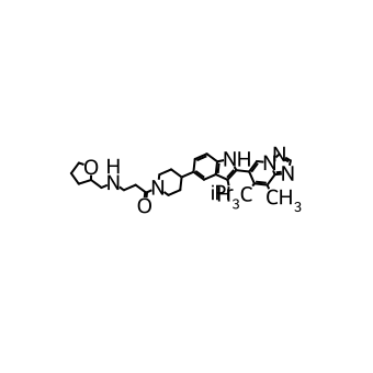 Cc1c(-c2[nH]c3ccc(C4CCN(C(=O)CCNCC5CCCO5)CC4)cc3c2C(C)C)cn2ncnc2c1C